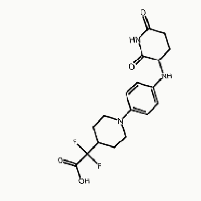 O=C1CCC(Nc2ccc(N3CCC(C(F)(F)C(=O)O)CC3)cc2)C(=O)N1